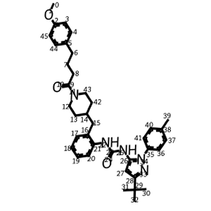 COc1ccc(CCCC(=O)N2CCC(Cc3ccccc3NC(=O)Nc3cc(C(C)(C)C)nn3-c3ccc(C)cc3)CC2)cc1